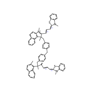 C=C(/C=C/C=C1\Sc2ccccc2N1C)C(C)(Cc1ccc(Cc2ccc(CC3(C)C(/C=C/C=C4\Sc5ccccc5N4C)=[N+](C)c4ccc5ccccc5c43)cc2)cc1)c1c(C)ccc2ccccc12